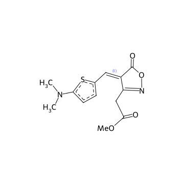 COC(=O)CC1=NOC(=O)/C1=C/c1ccc(N(C)C)s1